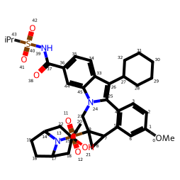 COc1ccc2c(c1)C1CC1(S(=O)(=O)N1C3CCC1CC(C)(O)C3)Cn1c-2c(C2CCCCC2)c2ccc(C(=O)NS(=O)(=O)C(C)C)cc21